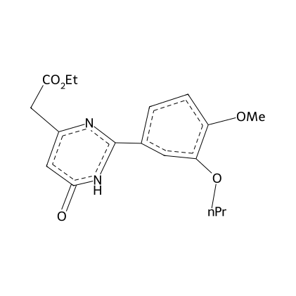 CCCOc1cc(-c2nc(CC(=O)OCC)cc(=O)[nH]2)ccc1OC